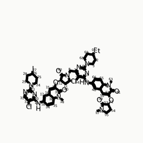 CCC1CCN(c2nc(CN3CC[C@@H](OC4=CC5C=C(Nc6nc(N7CCC(I)CC7)ncc6Cl)C=CC5N(C)C4=O)C3=O)c(Cl)c(NC3=CC4C=C(O[C@H]5CCN(C)C5=O)C(=O)N(C)C4C=C3)n2)CC1